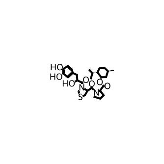 CC(C)[C@@H]1CC[C@@H](C)C[C@H]1OC(=O)C1CCCN1C(=O)C1CSCN1C(=O)C(O)Cc1ccc(O)c(O)c1